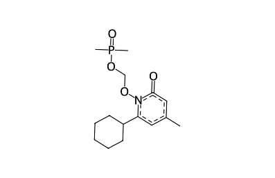 Cc1cc(C2CCCCC2)n(OCOP(C)(C)=O)c(=O)c1